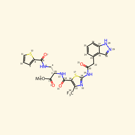 COC(=O)[C@H](CNC(=O)c1cccs1)NC(=O)c1sc(NC(=O)Cc2cccc3[nH]ncc23)nc1C(F)(F)F